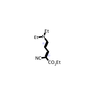 CCOC(=O)/C(C#N)=C/C=C/N(CC)CC